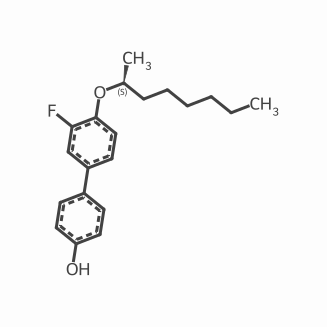 CCCCCC[C@H](C)Oc1ccc(-c2ccc(O)cc2)cc1F